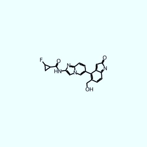 O=C1C=c2c(-c3ccc4nc(NC(=O)C5CC5F)cn4c3)c(CO)ccc2=N1